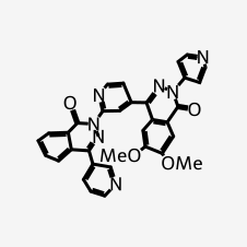 COc1cc2c(-c3ccnc(-n4nc(-c5cccnc5)c5ccccc5c4=O)c3)nn(-c3ccncc3)c(=O)c2cc1OC